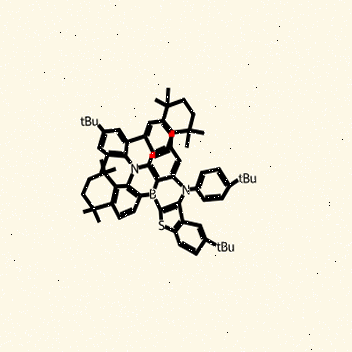 Cc1cc2c3c(c1)N(c1ccc(C(C)(C)C)cc1)c1c(sc4ccc(C(C)(C)C)cc14)B3c1ccc3c(c1N2c1c(C)cc(C(C)(C)C)cc1-c1ccc2c(c1)C(C)(C)CCC2(C)C)C(C)(C)CCC3(C)C